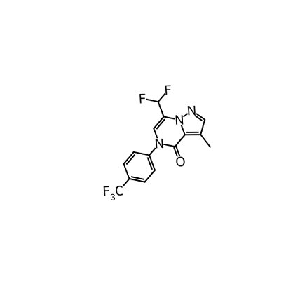 Cc1cnn2c(C(F)F)cn(-c3ccc(C(F)(F)F)cc3)c(=O)c12